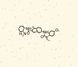 CC[C@@H](C(=O)Nc1ccc2sc(C(=O)Nc3ccccc3N)cc2c1)c1ccc(OC)cc1